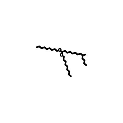 CCCCCCCCCOC(CCCCCCCC(C)CCCC)OCCCCCCCCC